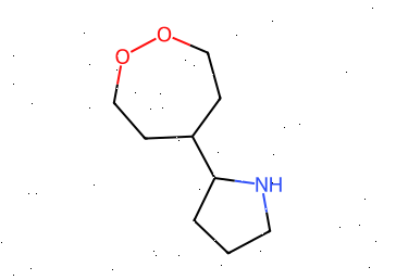 C1CNC(C2CCOOCC2)C1